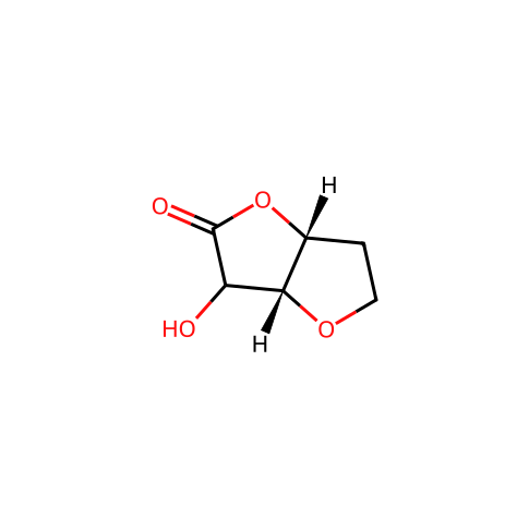 O=C1O[C@@H]2CCO[C@@H]2C1O